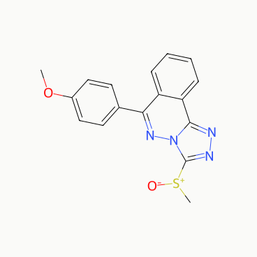 COc1ccc(-c2nn3c([S+](C)[O-])nnc3c3ccccc23)cc1